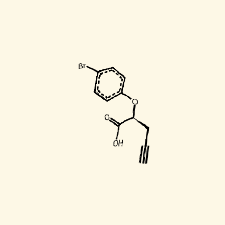 C#CC[C@H](Oc1ccc(Br)cc1)C(=O)O